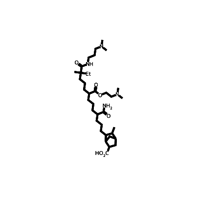 CCC(C)(CCCC(CCCC(CCCC1C(C)C2CC(C(=O)O)C1C2)C(N)=O)C(=O)OCCN(C)C)C(=O)NCCCN(C)C